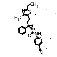 CCc1nc(C)c(CC[C@@]2(c3ccccc3)C[C@H]2C(=O)Nc2ccc(C#N)cn2)s1